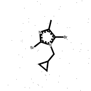 Cc1nc(Br)n(CC2CC2)c1Br